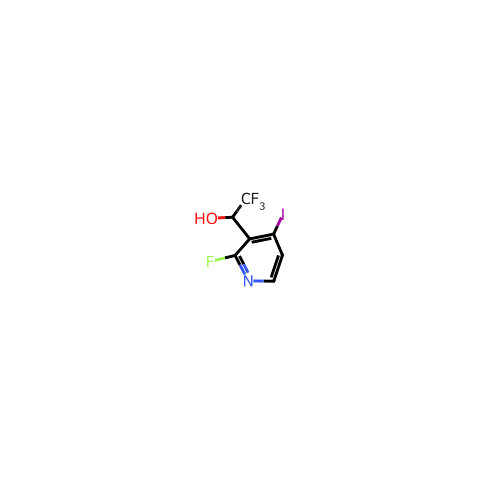 OC(c1c(I)ccnc1F)C(F)(F)F